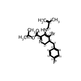 C=C(C)CNC1=C(Br)C(Cc2ccc(F)cc2)CN=C1C(=O)OC(C)C